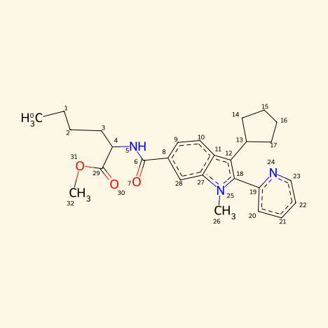 CCCCC(NC(=O)c1ccc2c(C3CCCC3)c(-c3ccccn3)n(C)c2c1)C(=O)OC